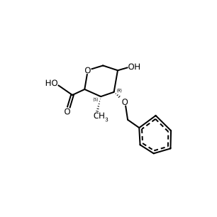 C[C@@H]1C(C(=O)O)OCC(O)[C@@H]1OCc1ccccc1